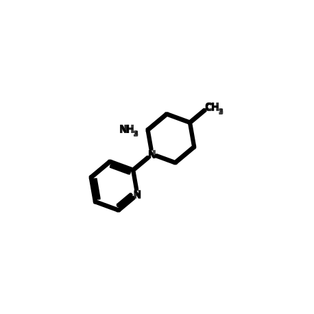 CC1CCN(c2ccccn2)CC1.N